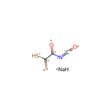 O=C=NC(=O)C(=S)S.[NaH]